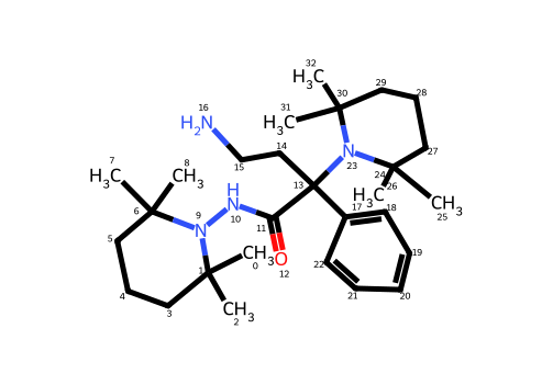 CC1(C)CCCC(C)(C)N1NC(=O)C(CCN)(c1ccccc1)N1C(C)(C)CCCC1(C)C